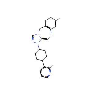 ClC1=CC2=C(CC1)CN1C=NN(C3CCC(c4cccnc4Cl)CC3)C1=CN2